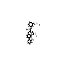 CC1=C=CC=CC(CNC(=O)C[C@@H]2C=CC(c3ccccc3F)=CC2C)=C1